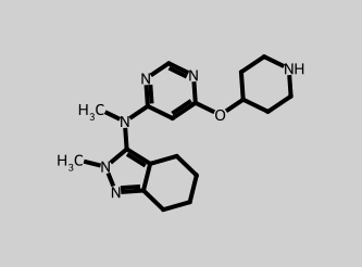 CN(c1cc(OC2CCNCC2)ncn1)c1c2c(nn1C)CCCC2